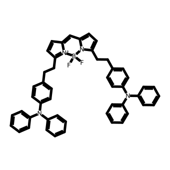 F[B-]1(F)n2c(ccc2CCc2ccc(N(c3ccccc3)c3ccccc3)cc2)C=C2C=CC(CCc3ccc(N(c4ccccc4)c4ccccc4)cc3)=[N+]21